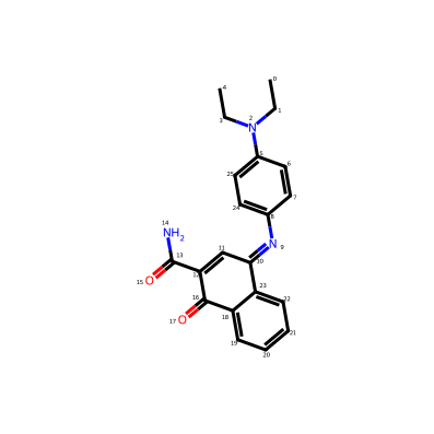 CCN(CC)c1ccc(/N=C2\C=C(C(N)=O)C(=O)c3ccccc32)cc1